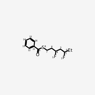 CCC(F)CC(F)CCSC(=O)c1ccccc1